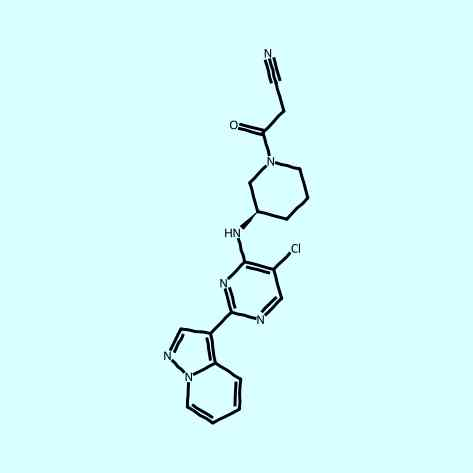 N#CCC(=O)N1CCC[C@@H](Nc2nc(-c3cnn4ccccc34)ncc2Cl)C1